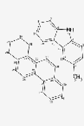 Cc1ccc2[nH]c3ccccc3c2c1.c1ccc2c(c1)ccc1c3c(ccc12)CCCC3